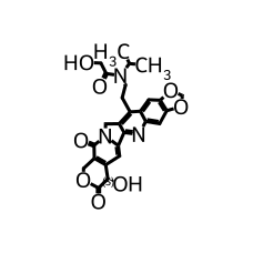 CC(C)N(CCc1c2c(nc3cc4c(cc13)OCO4)-c1cc3c(c(=O)n1C2)COC(=O)[C@H]3O)C(=O)CO